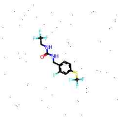 O=C(NCc1ccc(SC(F)(F)F)cc1F)NCC(F)(F)F